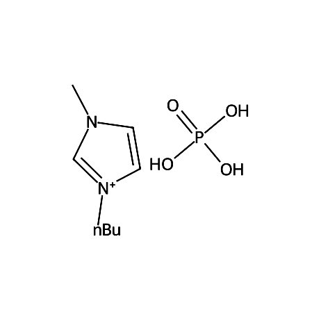 CCCC[n+]1ccn(C)c1.O=P(O)(O)O